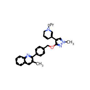 CCCN1C=C(c2cn(C)nc2OCc2ccc(-c3nc4ccccc4cc3C)cc2)C=CC1